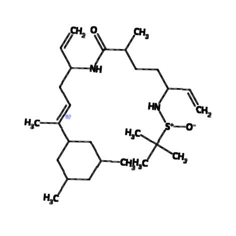 C=CC(C/C=C(\C)C1CC(C)CC(C)C1)NC(=O)C(C)CCC(C=C)N[S+]([O-])C(C)(C)C